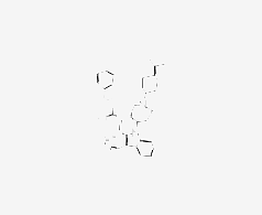 CC(C)=C1CCC(N2CCC(n3c(CNC(=O)OCc4ccccc4)c(/C=N\O)c4ccccc43)CC2)CC1